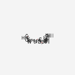 CC(C)Oc1c(-c2cn[nH]c2)ncn2nc(Nc3ccc(S(=O)(=O)c4cccc(CN5CCN(c6ccc7c(N8CCC(=O)NC8=O)nn(C)c7c6)C[C@H]5C(C)C)c4)cc3F)nc12